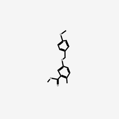 COC(=O)c1cc(OCc2ccc(OC)cc2)ccc1C